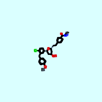 CCOc1ccc(Cc2cc([C@H]3CC(O)C[C@@H](CCc4ccc(C(=O)NC(C)C)cc4)O3)ccc2Cl)cc1